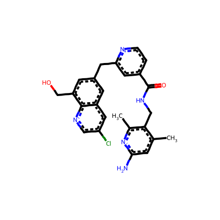 Cc1cc(N)nc(C)c1CNC(=O)c1ccnc(Cc2cc(CO)c3ncc(Cl)cc3c2)c1